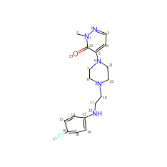 Cn1nccc(N2CCN(CCNc3ccc(F)cc3)CC2)c1=O